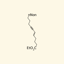 CCCCCCCCCCCCC#C/C=C/CCCC(=O)OCC